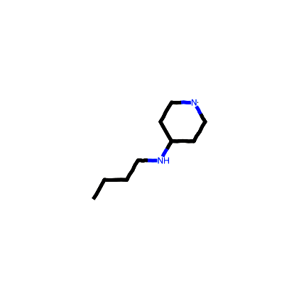 CCCCNC1CC[N]CC1